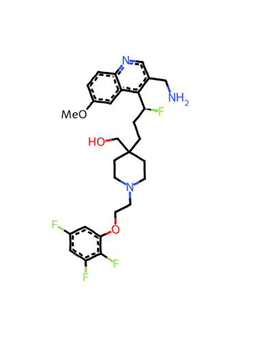 COc1ccc2ncc(CN)c([C@@H](F)CCC3(CO)CCN(CCOc4cc(F)cc(F)c4F)CC3)c2c1